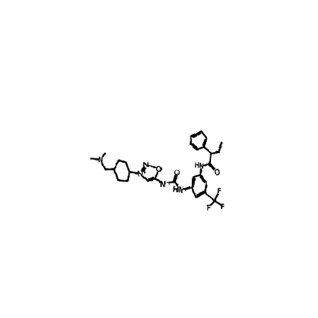 CCC(C(=O)Nc1cc(NC(=O)[N-]c2c[n+](C3CCC(CN(C)C)CC3)no2)cc(C(F)(F)F)c1)c1ccccc1